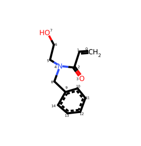 C=CC(=O)N(CCO)Cc1ccccc1